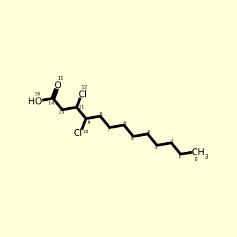 CCCCCCCCCC(Cl)C(Cl)CC(=O)O